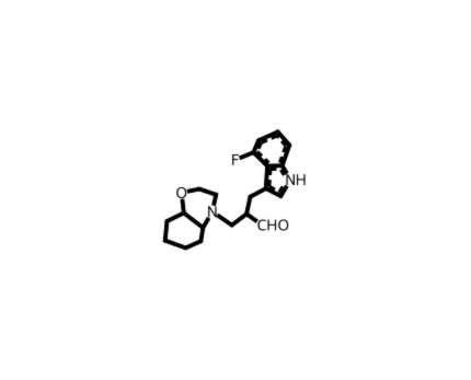 O=CC(Cc1c[nH]c2cccc(F)c12)CN1CCOC2CCCCC21